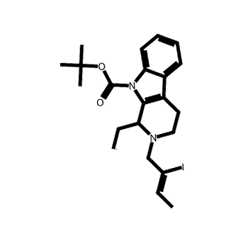 [CH2]CC1c2c(c3ccccc3n2C(=O)OC(C)(C)C)CCN1CC(I)=CC